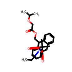 CCN1C(=O)C2C3c4ccccc4C(COC(=O)COC(C)C)(c4ccccc43)C2C1=O